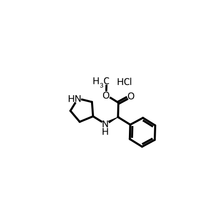 COC(=O)[C@H](NC1CCNC1)c1ccccc1.Cl